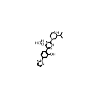 CC(C)[C@H]1CN(c2ncc(-c3ccc(-n4nccn4)cc3O)nn2)CCN1.Cl.Cl